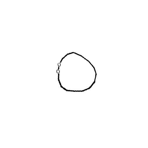 C1CCCCCCCOOCCCCCC1